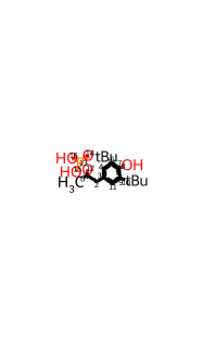 CC(Cc1cc(C(C)(C)C)c(O)c(C(C)(C)C)c1)OP(=O)(O)O